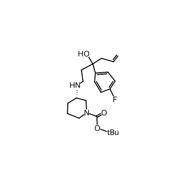 C=CCC(O)(CCN[C@H]1CCCN(C(=O)OC(C)(C)C)C1)c1ccc(F)cc1